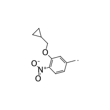 [CH2]c1ccc([N+](=O)[O-])c(OCC2CC2)c1